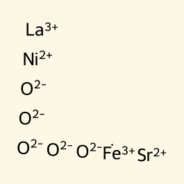 [Fe+3].[La+3].[Ni+2].[O-2].[O-2].[O-2].[O-2].[O-2].[Sr+2]